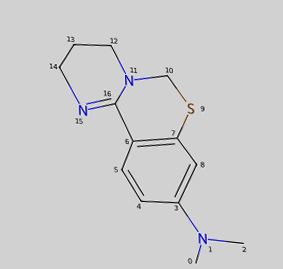 CN(C)c1ccc2c(c1)SCN1CCCN=C21